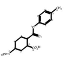 CCCCCC1CCC(C(=O)Oc2ccc(C)cc2)C(C(=O)O)C1